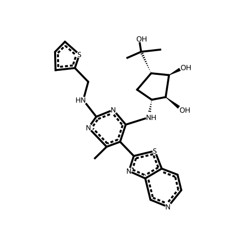 Cc1nc(NCc2cccs2)nc(N[C@@H]2C[C@H](C(C)(C)O)[C@@H](O)[C@H]2O)c1-c1nc2cnccc2s1